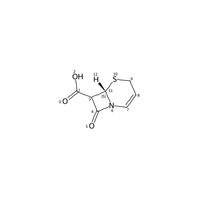 O=C(O)C1C(=O)N2C=CCS[C@@H]12